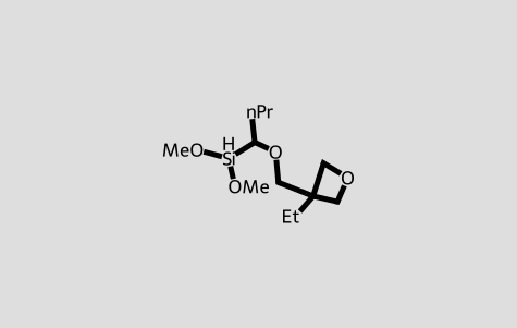 CCCC(OCC1(CC)COC1)[SiH](OC)OC